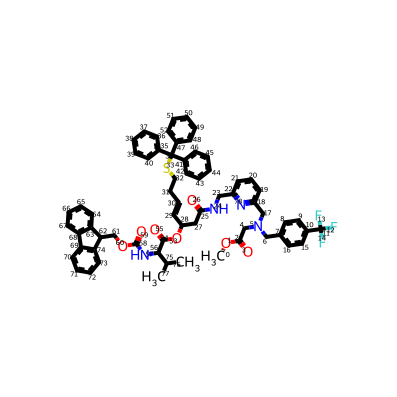 COC(=O)CN(Cc1ccc(C(F)(F)F)cc1)Cc1cccc(CNC(=O)CC(C=CCCSC(c2ccccc2)(c2ccccc2)c2ccccc2)OC(=O)C(NC(=O)OCC2c3ccccc3-c3ccccc32)C(C)C)n1